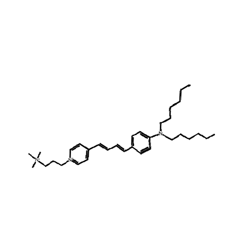 CCCCCCN(CCCCCC)c1ccc(/C=C/C=C/c2cc[n+](CCC[N+](C)(C)C)cc2)cc1